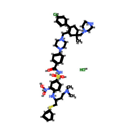 CN(C)CCC(CSc1ccccc1)Nc1ccc(S(=O)(=O)NC(=O)c2ccc(N3CCN(CC4=C(c5ccc(Cl)cc5)CCC(C)(CN5CCNCC5)C4)CC3)cc2)cc1[N+](=O)[O-].Cl